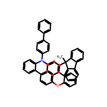 CC1(c2cccc(N(c3ccc(-c4ccccc4)cc3)c3ccccc3-c3ccc4c5c(cccc35)-c3ccccc3O4)c2)c2ccccc2-c2ccccc21